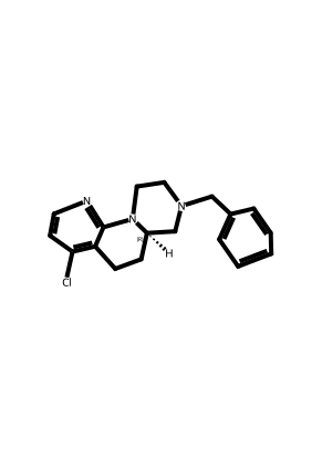 Clc1ccnc2c1CC[C@@H]1CN(Cc3ccccc3)CCN21